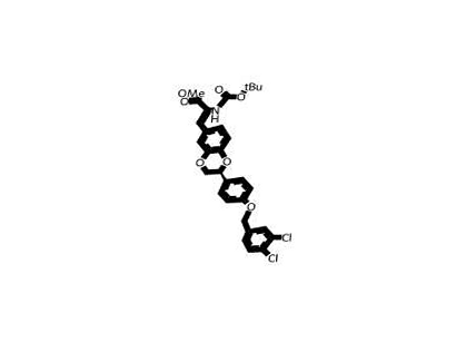 COC(=O)/C(=C/c1ccc2c(c1)OC[C@H](c1ccc(OCc3ccc(Cl)c(Cl)c3)cc1)O2)NC(=O)OC(C)(C)C